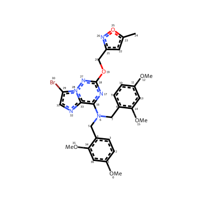 COc1ccc(CN(Cc2ccc(OC)cc2OC)c2nc(OCc3cc(C)on3)nn3c(Br)cnc23)c(OC)c1